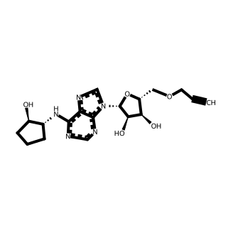 C#CCOC[C@H]1O[C@@H](n2cnc3c(N[C@@H]4CCC[C@H]4O)ncnc32)[C@H](O)[C@@H]1O